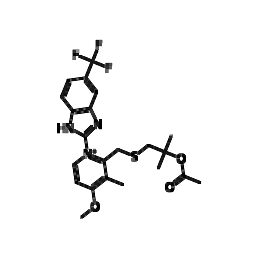 COc1cc[n+](-c2nc3cc(C(F)(F)F)ccc3[nH]2)c(CSCC(C)(C)OC(C)=O)c1C